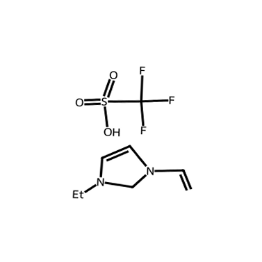 C=CN1C=CN(CC)C1.O=S(=O)(O)C(F)(F)F